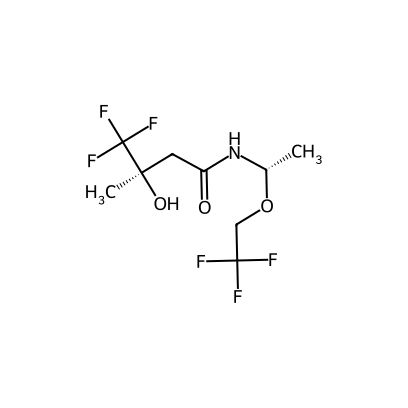 C[C@@H](NC(=O)C[C@@](C)(O)C(F)(F)F)OCC(F)(F)F